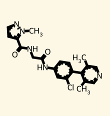 Cc1cncc(C)c1-c1ccc(NC(=O)CNC(=O)c2ccnn2C)cc1Cl